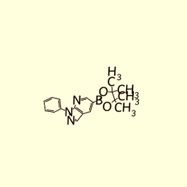 CC1(C)OB(c2cnc3c(cnn3-c3ccccc3)c2)OC1(C)C